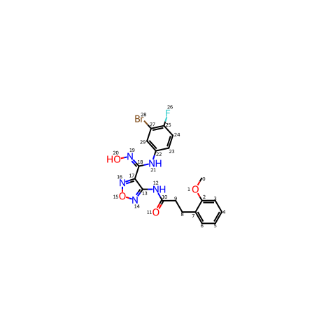 COc1ccccc1CCC(=O)Nc1nonc1/C(=N\O)Nc1ccc(F)c(Br)c1